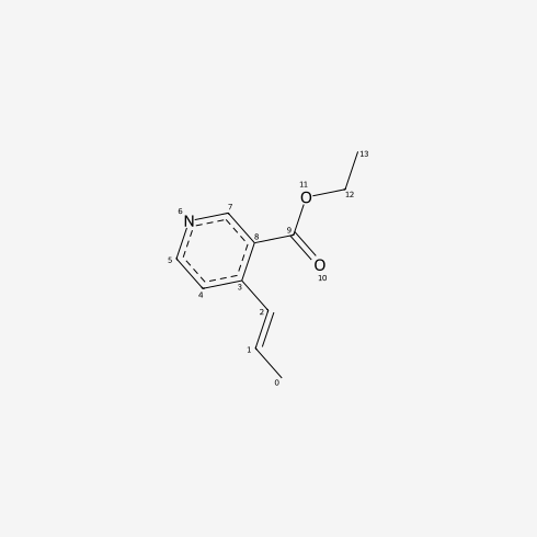 CC=Cc1ccncc1C(=O)OCC